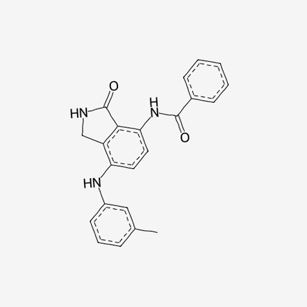 Cc1cccc(Nc2ccc(NC(=O)c3ccccc3)c3c2CNC3=O)c1